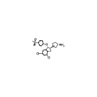 CS(=O)(=O)c1ccc(O[C@H]2c3cc(Cl)cc(Cl)c3C[C@@H]2N2CC[C@H](N)C2)cc1